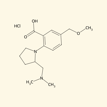 COCc1ccc(N2CCCC2CN(C)C)c(C(=O)O)c1.Cl